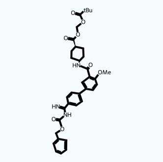 COc1ccc(-c2ccc(C(=N)NC(=O)OCc3ccccc3)cc2)cc1C(=O)N[C@H]1CC[C@H](C(=O)OCOC(=O)C(C)(C)C)CC1